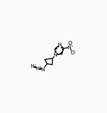 [N-]=[N+]=NC1CC(n2cnc([N+](=O)[O-])c2)C1